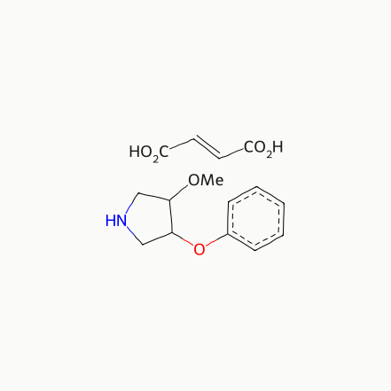 COC1CNCC1Oc1ccccc1.O=C(O)C=CC(=O)O